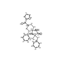 O=C(c1ccco1)N1CCC2(CC1)NC(=O)C(Cc1ccccc1)(Cc1ccccc1)N2